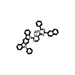 C1=NC(n2c3ccccc3c3cc4c5ccccc5n(-c5ccccc5)c4cc32)NC(C2=NC(c3ccc4ccccc4c3)=NC(c3ccccc3)N2)C1